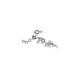 C=NN/C=C(\C)c1ccc(C(=O)Nc2cn([C@H]3C[C@@H](OCC)C3)nc2-c2cc(F)ccn2)o1